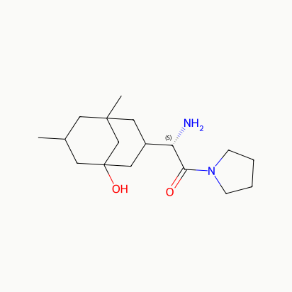 CC1CC2(C)CC([C@H](N)C(=O)N3CCCC3)CC(O)(C1)C2